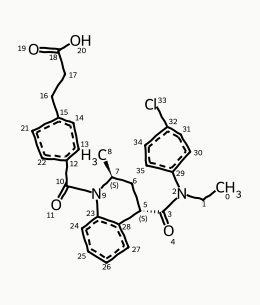 CCN(C(=O)[C@H]1C[C@H](C)N(C(=O)c2ccc(CCC(=O)O)cc2)c2ccccc21)c1ccc(Cl)cc1